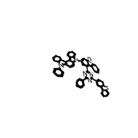 c1ccc(-c2nc(-c3ccc4sc5ccccc5c4c3)nc(-c3cc(-n4c5ccccc5c5c6c7ccccc7n(-c7ccccc7)c6ccc54)cc4oc5ccccc5c34)n2)cc1